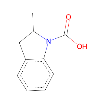 CC1Cc2ccccc2N1C(=O)O